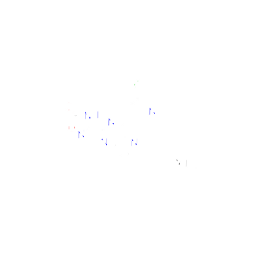 C[C@H]1CC[C@H](Cn2ccc3nc(-c4noc(=O)[nH]4)nc(-c4cncc(Cl)c4)c32)CC1